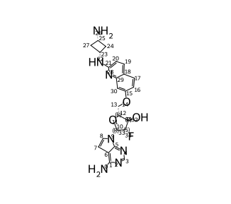 Nc1ncnc2c1ccn2[C@@H]1O[C@H](COc2ccc3ccc(N[C@H]4C[C@@H](N)C4)nc3c2)[C@@H](O)[C@@H]1F